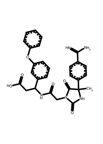 CC1(c2ccc(C(=N)N)cc2)NC(=O)N(CC(=O)NC(CC(=O)O)c2cccc(Oc3ccccc3)c2)C1=O